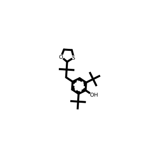 CC(C)(C)c1cc(CC(C)(C)C2OCCS2)cc(C(C)(C)C)c1O